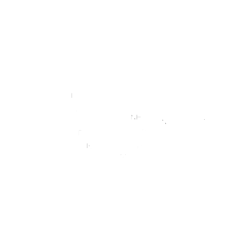 O=C(O)[C@H](CC(F)(F)Cc1ccccc1)NC(=O)N1CCC2(CC1)CC2